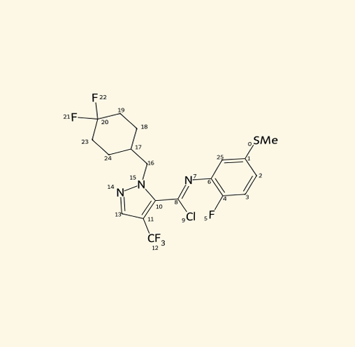 CSc1ccc(F)c(/N=C(\Cl)c2c(C(F)(F)F)cnn2CC2CCC(F)(F)CC2)c1